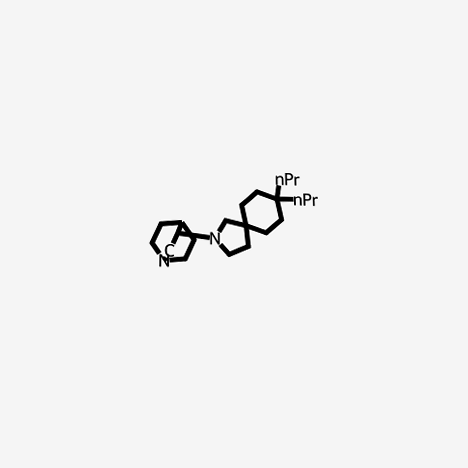 CCCC1(CCC)CCC2(CCN(C3CN4CCC3CC4)C2)CC1